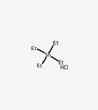 C[CH2][Sn]([CH2]C)([CH2]C)[CH2]C.Cl